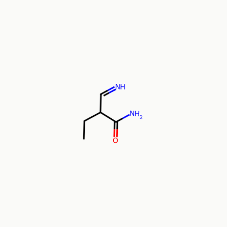 CCC(C=N)C(N)=O